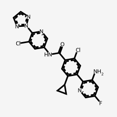 Nc1cc(F)cnc1-c1cc(Cl)c(C(=O)Nc2cnc(-n3nccn3)c(Cl)c2)cc1C1CC1